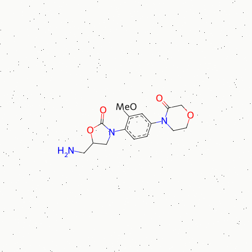 COc1cc(N2CCOCC2=O)ccc1N1CC(CN)OC1=O